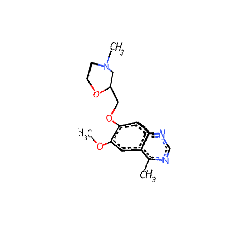 COc1cc2c(C)ncnc2cc1OCC1CN(C)CCO1